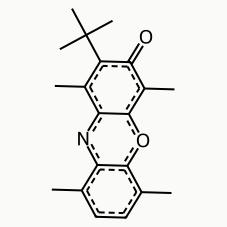 Cc1c2nc3c(C)ccc(C)c3oc-2c(C)c(=O)c1C(C)(C)C